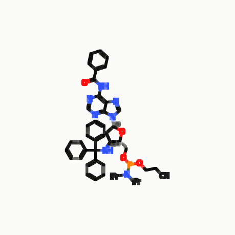 CC(C)N(C(C)C)P(OCCC#N)OC[C@H]1O[C@@H](n2cnc3c(NC(=O)c4ccccc4)ncnc32)C[C@@H]1NC(c1ccccc1)(c1ccccc1)c1ccccc1